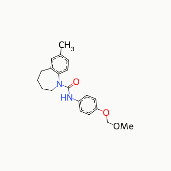 COCOc1ccc(NC(=O)N2CCCCc3cc(C)ccc32)cc1